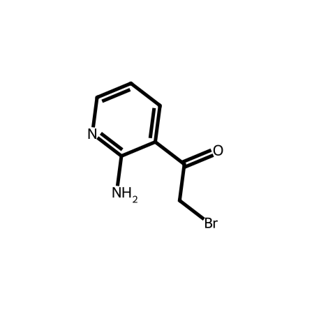 Nc1ncccc1C(=O)CBr